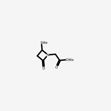 COC(=O)CN1C(=O)CC1SC